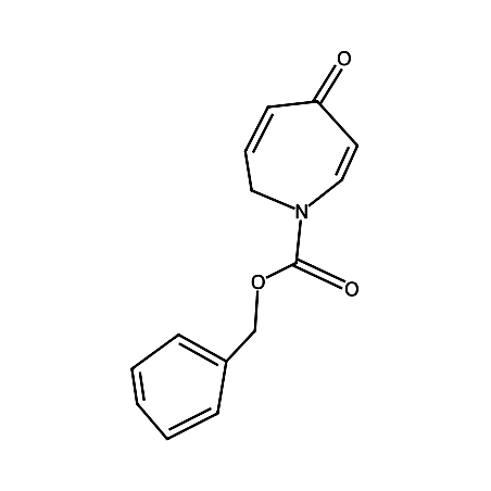 O=C1C=CCN(C(=O)OCc2ccccc2)C=C1